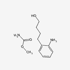 COC(N)=O.Nc1ccccc1CCCCO